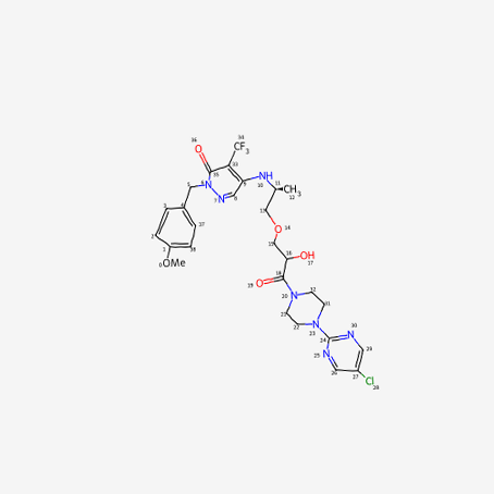 COc1ccc(Cn2ncc(N[C@@H](C)COCC(O)C(=O)N3CCN(c4ncc(Cl)cn4)CC3)c(C(F)(F)F)c2=O)cc1